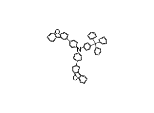 c1ccc(C(c2ccccc2)(c2ccccc2)c2ccc(N(c3ccc(-c4ccc5oc6ccccc6c5c4)cc3)c3ccc(-c4ccc5oc6ccccc6c5c4)cc3)cc2)cc1